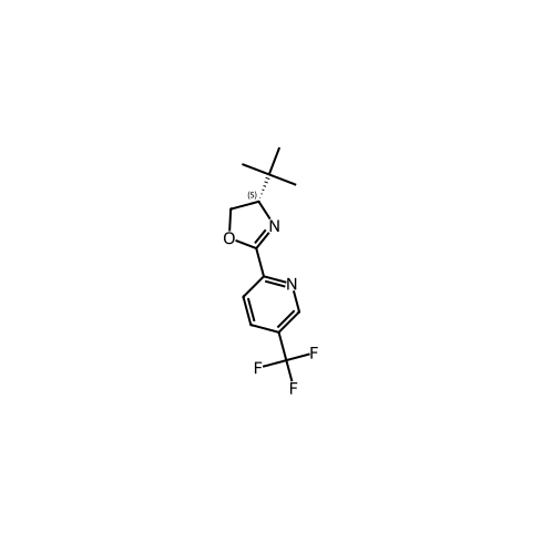 CC(C)(C)[C@H]1COC(c2ccc(C(F)(F)F)cn2)=N1